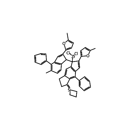 Cc1ccc(C2=Cc3c(ccc(C)c3-c3ccccc3)C2[C]2([Zr]([Cl])[Cl])C(c3ccc(C)o3)=Cc3c2cc2c(c3-c3ccccc3)C(=[Si]3CCC3)CC2)o1